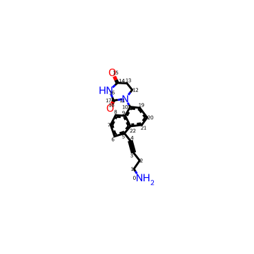 NCCC#Cc1cccc2c(N3CCC(=O)NC3=O)cccc12